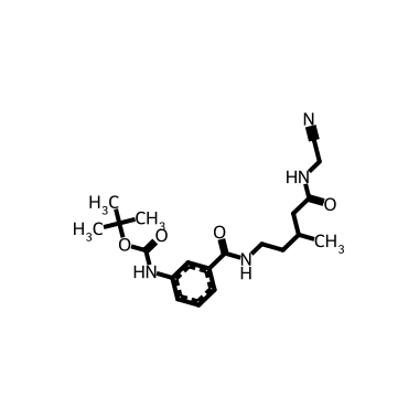 CC(CCNC(=O)c1cccc(NC(=O)OC(C)(C)C)c1)CC(=O)NCC#N